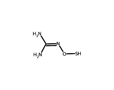 NC(N)=NOS